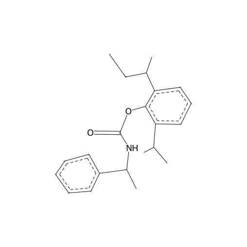 CCC(C)c1cccc(C(C)C)c1OC(=O)NC(C)c1ccccc1